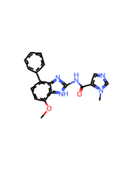 COc1ccc(-c2ccccc2)c2nc(NC(=O)c3cncn3C)[nH]c12